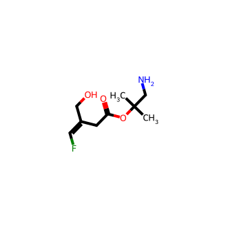 CC(C)(CN)OC(=O)C/C(=C\F)CO